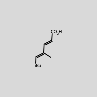 CCC(C)/C=C(C)/C=C/C(=O)O